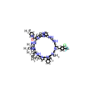 CC[C@H](C)[C@H]1CN[C@@H](CC(C)C)C(C)NCC2[C@@H](C(=O)N3CCC(C)CC3)CN2[C@@H](C(C)C)C(C)NC2(CCCC2)CNCCNC=CC(CCc2ccc(C(F)(F)F)c(Cl)c2)=NC=CN(C)C=C(CC2CCCCC2)N(C)C=C2CCCN2[C@@H](C)C(C)N1